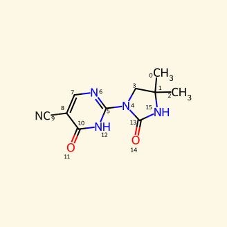 CC1(C)CN(c2ncc(C#N)c(=O)[nH]2)C(=O)N1